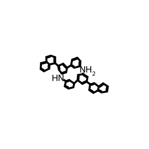 Nc1cc(-c2ccc3ccccc3c2)cc(C2C=C(Nc3cc(-c4ccccc4)cc(-c4cccc5ccccc45)c3)C=CC2)c1